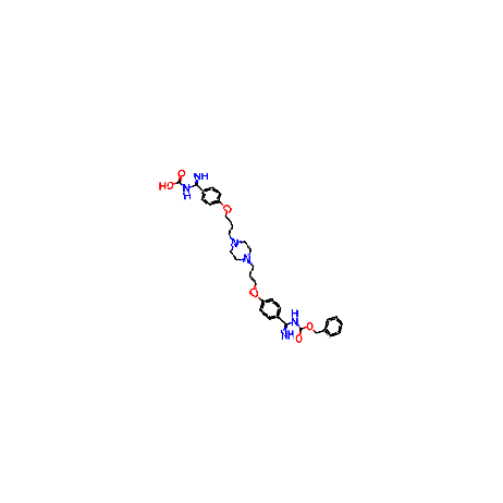 N=C(NC(=O)O)c1ccc(OCCCN2CCN(CCCOc3ccc(C(=N)NC(=O)OCc4ccccc4)cc3)CC2)cc1